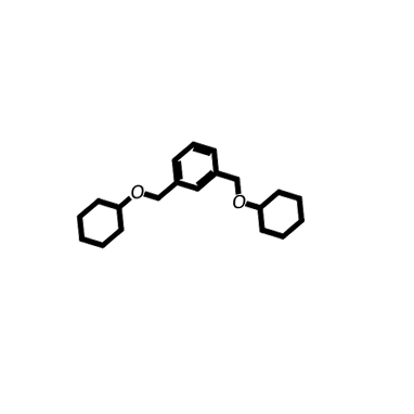 c1cc(COC2CCCCC2)cc(COC2CCCCC2)c1